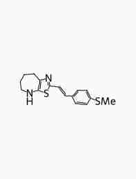 CSc1ccc(C=Cc2nc3c(s2)NCCCC3)cc1